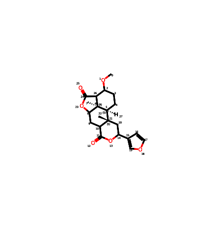 COC1CC[C@@H]2[C@@]3(C)C(CC4C(=O)OC(c5ccoc5)C[C@]42C)OC(=O)C13